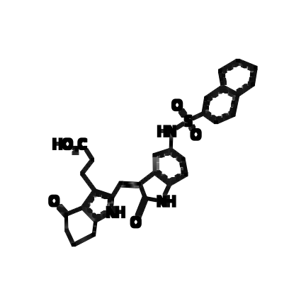 O=C(O)CCc1c(C=C2C(=O)Nc3ccc(NS(=O)(=O)c4ccc5ccccc5c4)cc32)[nH]c2c1C(=O)CCC2